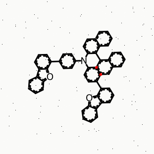 c1ccc2c(-c3c(N(c4ccc(-c5cccc6c5oc5ccccc56)cc4)c4ccc(-c5cccc6c5oc5ccccc56)cc4)ccc4ccccc34)cccc2c1